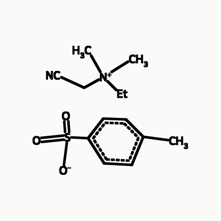 CC[N+](C)(C)CC#N.Cc1ccc(S(=O)(=O)[O-])cc1